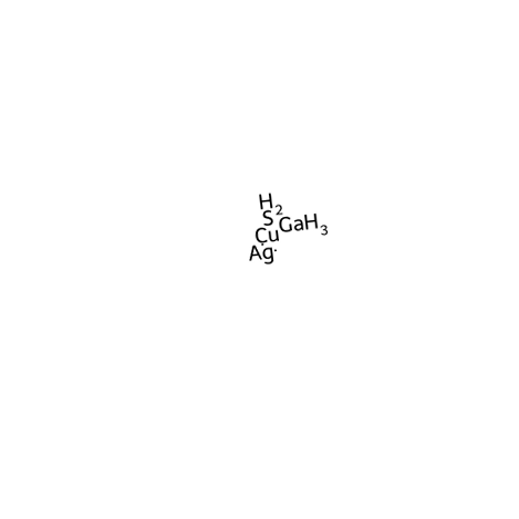 S.[Ag].[Cu].[GaH3]